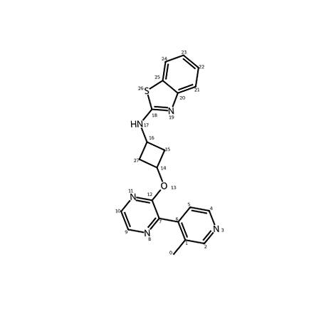 Cc1cnccc1-c1nccnc1OC1CC(Nc2nc3ccccc3s2)C1